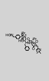 Cc1nc(CN2C(=O)CN([C@H](C(=O)N[C@@H](Cc3ccccc3)[C@@H](O)CN(CC(C)C)S(=O)(=O)c3ccc(C=NO)cc3)C(C)C)C2=O)cs1